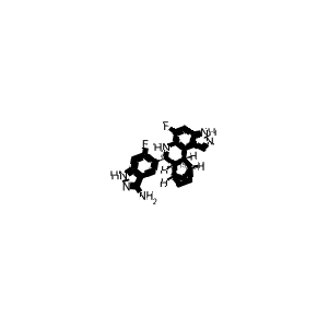 Nc1n[nH]c2cc(F)c([C@@H]3Nc4c(F)cc5[nH]ncc5c4[C@H]4[C@@H]5CC[C@@H](C5)[C@H]43)cc12